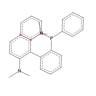 CN(C)c1cccc(N(C)C)c1-c1ccccc1P(c1ccccc1)c1ccccc1